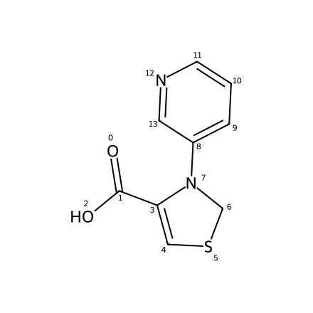 O=C(O)C1=CSCN1c1cccnc1